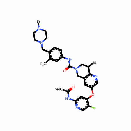 CCC1CN(C(=O)Nc2ccc(CN3CCN(CC)CC3)c(C(F)(F)F)c2)Cc2cc(Oc3cc(NC(=O)OC)ncc3F)cnc21